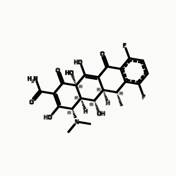 C[C@H]1c2c(F)ccc(F)c2C(=O)C2=C(O)[C@]3(O)C(=O)C(C(N)=O)=C(O)[C@@H](N(C)C)[C@@H]3[C@@H](O)[C@@H]21